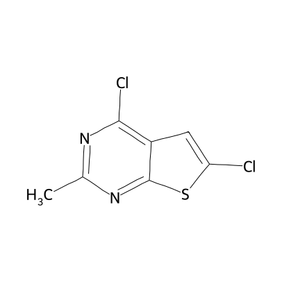 Cc1nc(Cl)c2cc(Cl)sc2n1